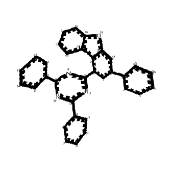 c1ccc(-c2cc(-c3nc(-c4ccccc4)nc(-c4ccccc4)n3)c3c(c2)oc2ccccc23)cc1